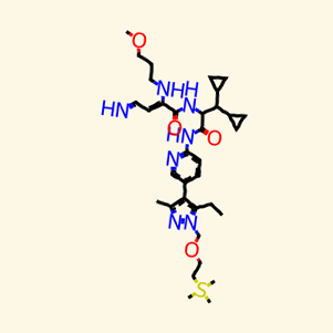 CCc1c(-c2ccc(NC(=O)C(NC(=O)/C(=C/C=N)NCCCOC)C(C3CC3)C3CC3)nc2)c(C)nn1COCCS(C)(C)C